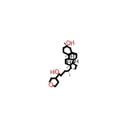 C[C@H](CC[C@@H](O)C1CCOCC1)[C@H]1CC[C@H]2[C@@H]3CC=C4C[C@@](C)(O)CC[C@]4(C)[C@H]3CC[C@]12C